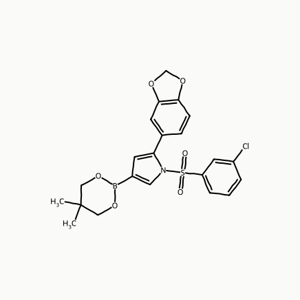 CC1(C)COB(c2cc(-c3ccc4c(c3)OCO4)n(S(=O)(=O)c3cccc(Cl)c3)c2)OC1